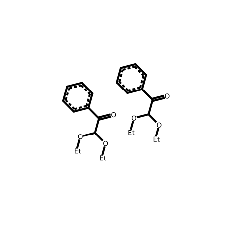 CCOC(OCC)C(=O)c1ccccc1.CCOC(OCC)C(=O)c1ccccc1